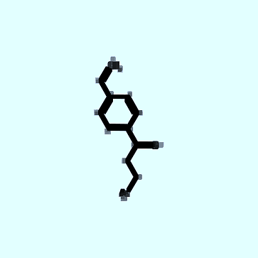 C=Cc1ccc(C(=O)CCC(C)=O)cc1